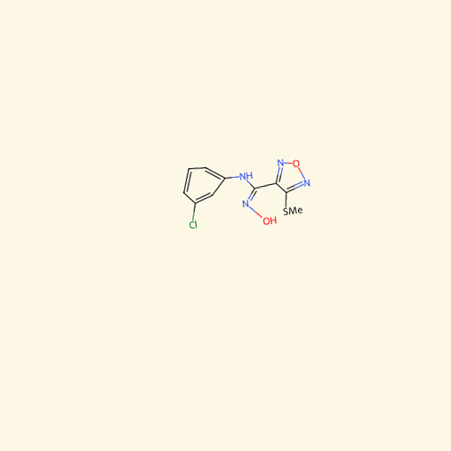 CSc1nonc1C(=NO)Nc1cccc(Cl)c1